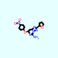 Nc1nc(Oc2ccc([N+](=O)[O-])cc2)cc2nc(-c3ccco3)nn12